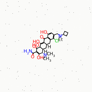 CCN(Cc1cc(O)c2c(c1Cl)C[C@H]1C[C@H]3[C@H](N(C)C)C(O)=C(C(N)=O)C(=O)[C@@]3(O)C(O)=C1C2=O)C1CCC1